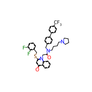 O=C(Cn1c(SCc2cccc(F)c2F)cc(=O)c2ccccc21)N(CCCCN1CCCC1)Cc1ccc(-c2ccc(C(F)(F)F)cc2)cc1